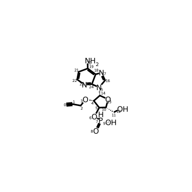 C#CCO[C@H]1C(O[PH](=O)O)[C@@H](CO)O[C@H]1n1cnc2c(N)ccnc21